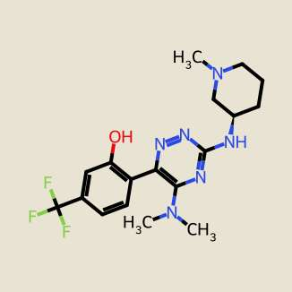 CN1CCC[C@@H](Nc2nnc(-c3ccc(C(F)(F)F)cc3O)c(N(C)C)n2)C1